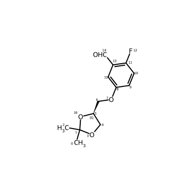 CC1(C)OC[C@H](COc2ccc(F)c(C=O)c2)O1